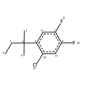 CCC(C)(C)c1cc(F)c(F)cc1Cl